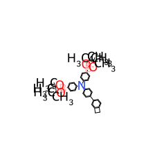 CC1(C)OB(c2ccc(N(c3ccc(B4OC(C)(C)C(C)(C)O4)cc3)c3ccc(-c4ccc5c(c4)CC5)cc3)cc2)OC1(C)C